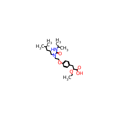 CCOC(Cc1ccc(OCCN(CCCC(C)C)C(=O)NC(C)C)cc1)C(=O)O